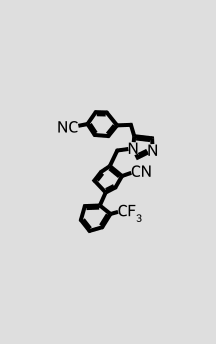 N#Cc1ccc(Cc2cncn2Cc2ccc(-c3ccccc3C(F)(F)F)cc2C#N)cc1